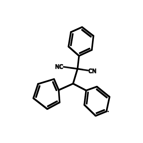 N#CC(C#N)(c1ccccc1)C(c1cc[c]cc1)c1ccccc1